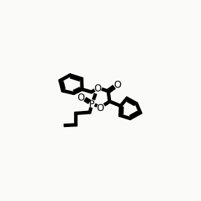 CCCCP(C)(=O)OC(C(=O)OCc1ccccc1)c1ccccc1